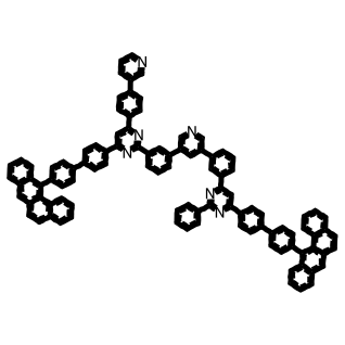 c1ccc(-c2nc(-c3ccc(-c4ccc(-c5c6ccccc6cc6ccc7ccccc7c56)cc4)cc3)cc(-c3cccc(-c4cncc(-c5cccc(-c6nc(-c7ccc(-c8ccc(-c9c%10ccccc%10cc%10ccc%11ccccc%11c9%10)cc8)cc7)cc(-c7ccc(-c8cccnc8)cc7)n6)c5)c4)c3)n2)cc1